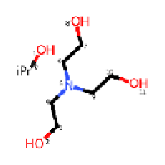 CC(C)O.OCCN(CCO)CCO